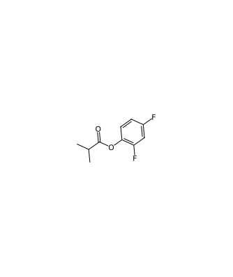 CC(C)C(=O)Oc1ccc(F)cc1F